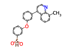 Cc1cccc2c(-c3cccc(Oc4cccc([SH](=O)=O)c4)c3)ccnc12